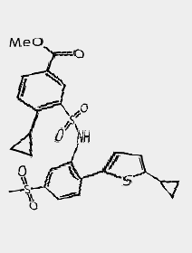 COC(=O)c1ccc(C2CC2)c(S(=O)(=O)Nc2cc(S(C)(=O)=O)ccc2-c2ccc(C3CC3)s2)c1